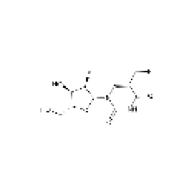 O=c1[nH]c(=O)n([C@@H]2O[C@H](CO)[C@@H](O)[C@H]2F)cc1CF